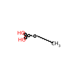 CCCCCCCCCCCCCCCC[C@H]1CC[C@H](CCC2CCC(c3ccc(O)cc3)(c3ccc(O)cc3)CC2)CC1